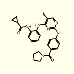 O=C(Nc1ccccc1Nc1nc(Nc2ccc(C(=O)N3CCCC3)cc2)ncc1I)C1CC1